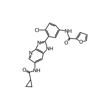 O=C(Nc1ccc(Cl)c(-c2nc3ncc(NC(=O)C4CC4)cc3[nH]2)c1)c1ccco1